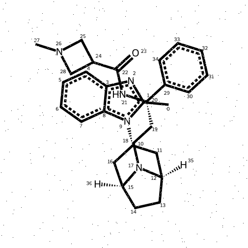 Cc1nc2ccccc2n1[C@@H]1C[C@H]2CC[C@@H](C1)N2CC[C@H](NC(=O)C1CN(C)C1)c1ccccc1